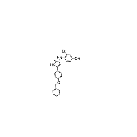 CCc1cc(O)ccc1Nc1cc(-c2ccc(OCc3ccccc3)cc2)[nH]n1